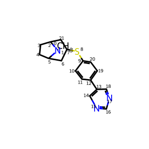 CN1C2CCC1CC(Sc1ccc(-c3cncnc3)cc1)C2